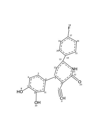 C#Cc1c(-c2ccc(O)c(O)c2)cc(-c2ccc(F)cc2)[nH]c1=O